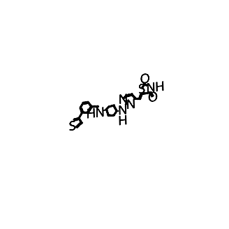 O=C1NC(=O)/C(=C/c2ccnc(N[C@H]3CC[C@H](NCc4cccc(-c5ccsc5)c4)CC3)n2)S1